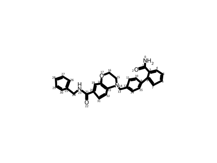 NC(=O)c1ccccc1-c1ccc(CN2CCOc3cc(C(=O)NCc4ccccc4)ccc32)cc1